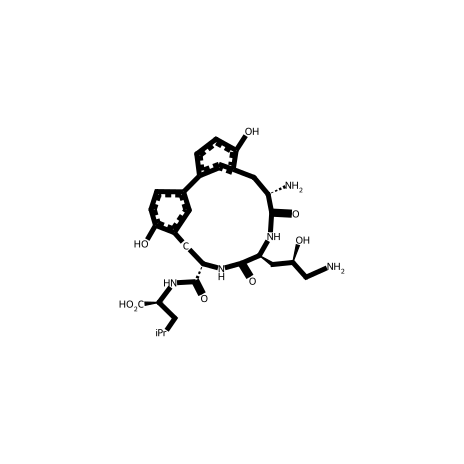 CC(C)C[C@H](NC(=O)[C@@H]1Cc2cc(ccc2O)-c2ccc(O)c(c2)C[C@H](N)C(=O)N[C@@H](C[C@@H](O)CN)C(=O)N1)C(=O)O